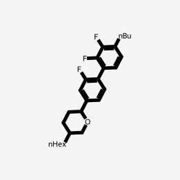 CCCCCCC1CCC(c2ccc(-c3ccc(CCCC)c(F)c3F)c(F)c2)OC1